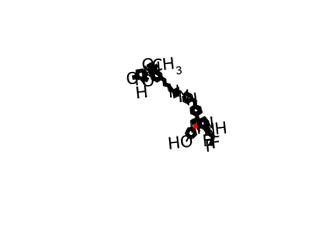 Cn1c(=O)n([C@H]2CCC(=O)NC2=O)c2ccc(CCCCN3CC(N4CCN(Cc5ccc(-c6cn([C@H]7CC[C@H](O)CC7)c7nc(NCCC(F)(F)F)ncc67)cc5)CC4)C3)cc21